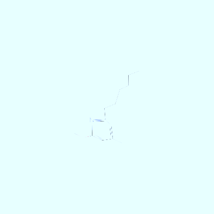 CCCCCCc1cc(C)cc(OC)n1